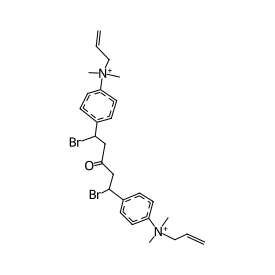 C=CC[N+](C)(C)c1ccc(C(Br)CC(=O)CC(Br)c2ccc([N+](C)(C)CC=C)cc2)cc1